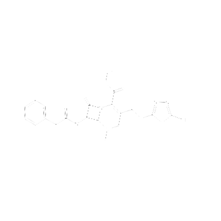 Cc1nnc(SCC2=C(C(=O)OC(C)(C)C)N3C(=O)C(NC(=O)Cc4ccccc4)[C@@H]3[S+]([O-])C2)s1